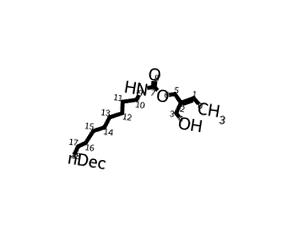 CC=C(CO)COC(=O)NCCCCCCCCCCCCCCCCCC